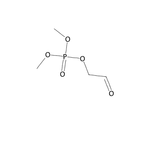 COP(=O)(OC)OCC=O